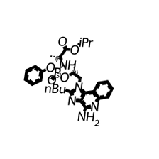 CCCCc1nc2c(N)nc3ccccc3c2n1C[C@@H](C)O[P@@](=O)(N[C@H](C)C(=O)OC(C)C)Oc1ccccc1